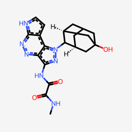 CNC(=O)C(=O)Nc1nn(C2[C@H]3CC4C[C@H]2CC(O)(C4)C3)c2c1nnc1[nH]ccc12